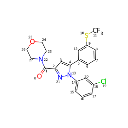 O=C(c1cc(-c2cccc(SC(F)(F)F)c2)n(-c2cccc(Cl)c2)n1)N1CCOCC1